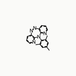 Cc1cc(C)c(N2c3ncccc3N=Nc3cccnc32)c(C)c1